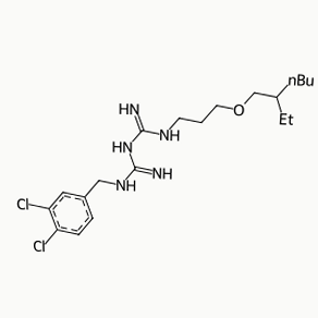 CCCCC(CC)COCCCNC(=N)NC(=N)NCc1ccc(Cl)c(Cl)c1